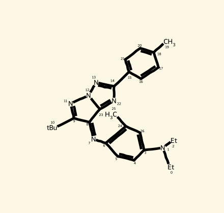 CCN(CC)c1ccc(/N=C2/C(C(C)(C)C)=Nn3nc(-c4ccc(C)cc4)nc32)c(C)c1